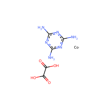 Nc1nc(N)nc(N)n1.O=C(O)C(=O)O.[Co]